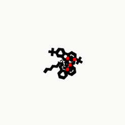 C=CCCC[CH2][Hf](=[CH2])([CH2]c1ccccc1)([CH2]c1ccccc1)([c]1ccccc1)([CH]1C=CC=C1)[CH]1c2cc(C(C)(C)C)ccc2-c2ccc(C(C)(C)C)cc21